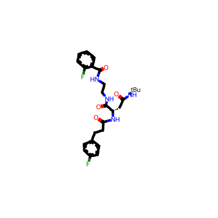 CC(C)(C)NC(=O)C[C@H](NC(=O)CCc1ccc(F)cc1)C(=O)NCCNC(=O)c1ccccc1F